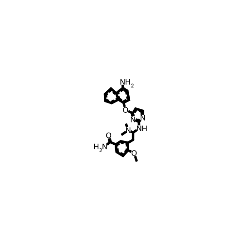 COc1ccc(C(N)=O)cc1CC(Nc1nccc(Oc2ccc(N)c3ccccc23)n1)N(C)C